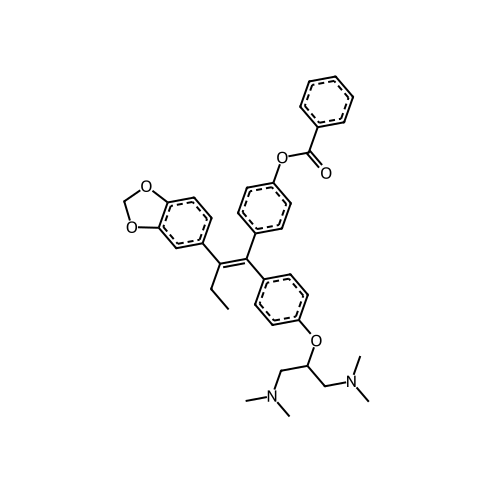 CCC(=C(c1ccc(OC(=O)c2ccccc2)cc1)c1ccc(OC(CN(C)C)CN(C)C)cc1)c1ccc2c(c1)OCO2